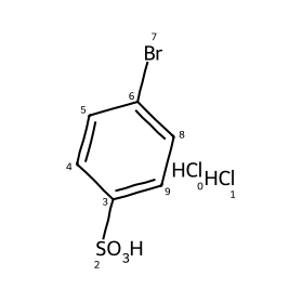 Cl.Cl.O=S(=O)(O)c1ccc(Br)cc1